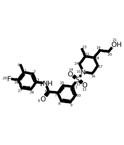 Cc1cc(NC(=O)c2cccc(S(=O)(=O)N3CCC(CCO)C(C)C3)c2)ccc1F